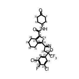 O=C1CCC(NC(=O)c2sc(C3=NOC(c4cc(Cl)c(F)c(Cl)c4)(C(F)(F)F)C3)c3c2CCCC3)CC1